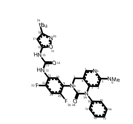 CNc1cc2c(cn1)CN(c1cc(NC(=O)Nc3cc(C(C)(C)C)no3)c(F)cc1F)C(=O)N2c1ccccc1